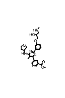 CNCC(O)COc1cccc(-c2nc(N[C@@H]3CCOC3)c(C)c(-c3cncc(C(=O)OC)c3)n2)c1